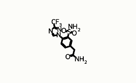 NC(=O)Cc1ccc(-n2cnc(C(F)(F)F)n2)c(S(N)(=O)=O)c1